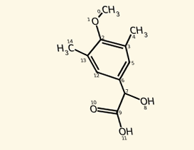 COc1c(C)cc(C(O)C(=O)O)cc1C